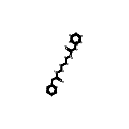 O=C(Cc1ccccc1)OCCCCOC(=O)Cc1ccccc1